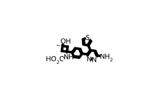 C[C@]1(O)C[C@@](NC(=O)O)(c2ccc(-c3nnc(N)cc3-c3ccsc3)cc2)C1